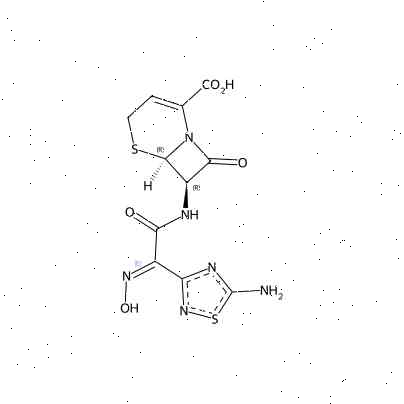 Nc1nc(/C(=N\O)C(=O)N[C@@H]2C(=O)N3C(C(=O)O)=CCS[C@H]23)ns1